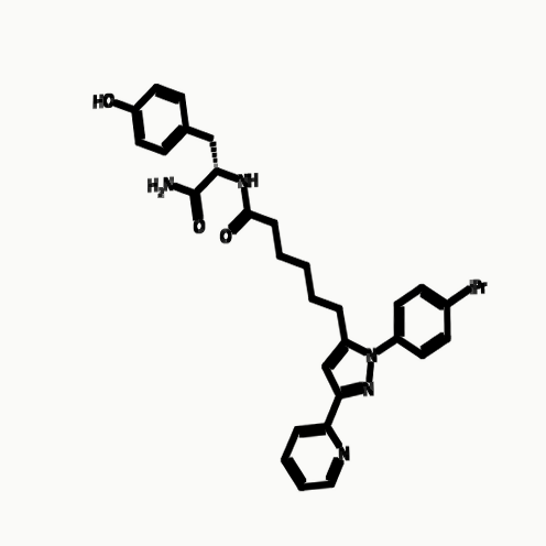 CC(C)c1ccc(-n2nc(-c3ccccn3)cc2CCCCCC(=O)N[C@@H](Cc2ccc(O)cc2)C(N)=O)cc1